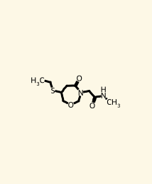 CCSC1COCN(CC(=O)NC)C(=O)C1